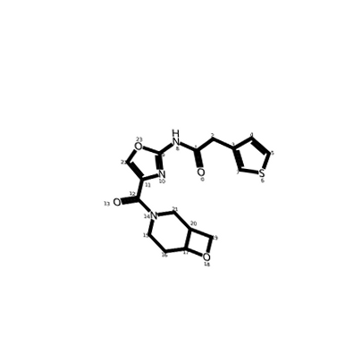 O=C(Cc1ccsc1)Nc1nc(C(=O)N2CCC3OCC3C2)co1